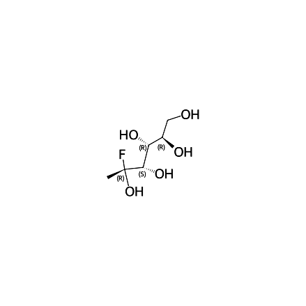 C[C@@](O)(F)[C@@H](O)[C@H](O)[C@H](O)CO